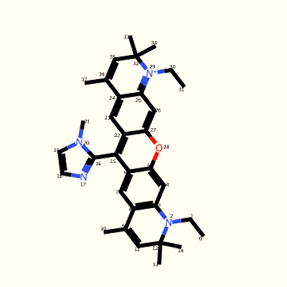 CCN1c2cc3c(cc2C(C)=CC1(C)C)C(c1nccn1C)=c1cc2c(cc1O3)=[N+](CC)C(C)(C)C=C2C